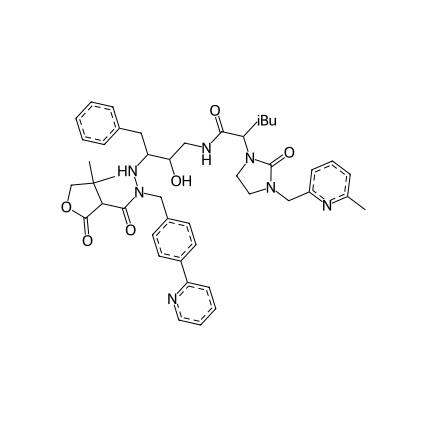 CCC(C)C(C(=O)NCC(O)C(Cc1ccccc1)NN(Cc1ccc(-c2ccccn2)cc1)C(=O)C1C(=O)OCC1(C)C)N1CCN(Cc2cccc(C)n2)C1=O